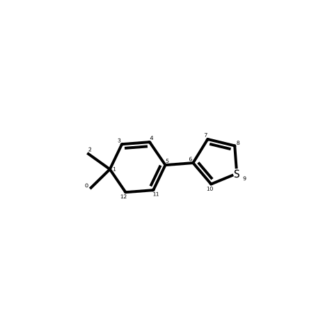 CC1(C)C=CC(c2ccsc2)=CC1